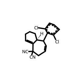 N#CC1(C#N)CC=CC(c2c(Cl)cccc2Cl)[C@@H]2CCCC=C21